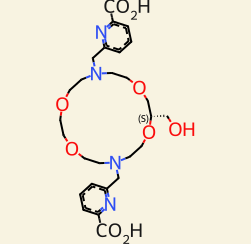 O=C(O)c1cccc(CN2CCOCCOCCN(Cc3cccc(C(=O)O)n3)CCO[C@@H](CO)COCC2)n1